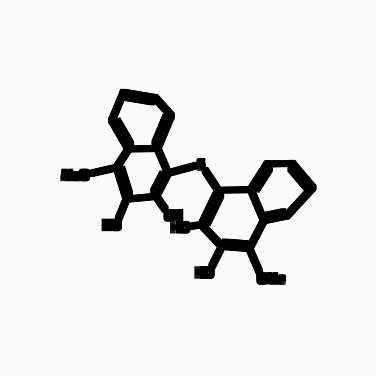 COc1c(O)c(O)c(Sc2c(O)c(O)c(OC)c3ccccc23)c2ccccc12